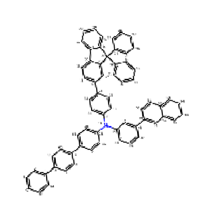 c1ccc(-c2ccc(-c3ccc(N(c4ccc(-c5ccc6c(c5)C(c5ccccc5)(c5ccccc5)c5ccccc5-6)cc4)c4cccc(-c5ccc6ccccc6c5)c4)cc3)cc2)cc1